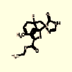 CCOC(=O)c1sc([N+]2(CC3(F)C=CC=CC3)N=CNC2=O)cc1C